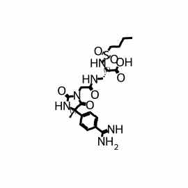 CCCCS(=O)(=O)N[C@@H](CNC(=O)CN1C(=O)N[C@@](C)(c2ccc(C(=N)N)cc2)C1=O)C(=O)O